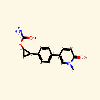 Cn1cc(-c2ccc(C3CC3OC(N)=O)cc2)ccc1=O